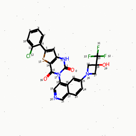 O=c1[nH]c2cc(-c3ccccc3Cl)sc2c(=O)n1-c1cncc2ccc(N3CC(O)(C(F)(F)F)C3)cc12